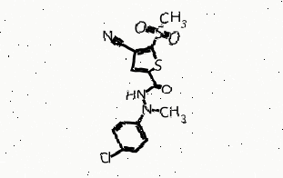 CN(NC(=O)c1cc(C#N)c(S(C)(=O)=O)s1)c1ccc(Cl)cc1